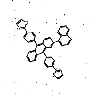 c1ccc2c(-c3ccc4c(-c5ccc(-c6nccs6)cc5)c5ccccc5c(-c5ccc(-c6nccs6)cc5)c4c3)cccc2c1